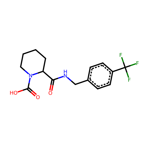 O=C(NCc1ccc(C(F)(F)F)cc1)C1CCCCN1C(=O)O